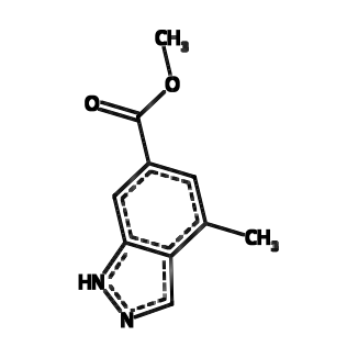 COC(=O)c1cc(C)c2cn[nH]c2c1